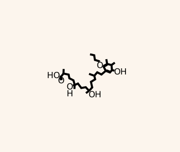 CCCCOC1=C(C)C(C)C(O)C=C1CCC(C)CCCC(C)(O)CCCC(C)(O)CCCC(C)C(=O)O